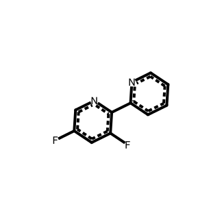 Fc1cnc(-c2ccccn2)c(F)c1